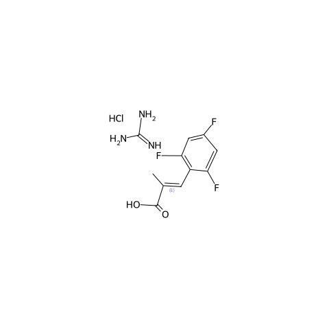 C/C(=C\c1c(F)cc(F)cc1F)C(=O)O.Cl.N=C(N)N